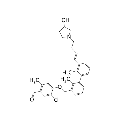 Cc1cc(OCc2cccc(-c3cccc(C=CCCN4CCC(O)C4)c3C)c2C)c(Cl)cc1C=O